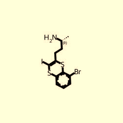 C[C@@H](N)CCC1=C(I)Sc2cccc(Br)c2S1